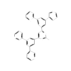 Cc1nc(-c2cc(-c3cccnc3)cc(-c3cccnc3)c2)cc(-c2cc(-c3cccnc3)cc(-c3ccccn3)c2)n1